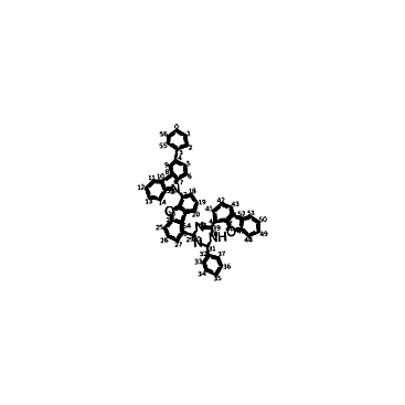 c1ccc(-c2ccc3c(c2)c2ccccc2n3-c2cccc3c2oc2cccc(C4=NC(c5ccccc5)NC(c5cccc6c5oc5ccccc56)=N4)c23)cc1